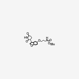 CC(C)(C)OC(=O)NCCCOc1ccc2occ(C3CCC(=O)NC3=O)c2c1